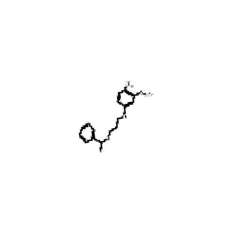 CCCSc1cc(OCCCSC(C)c2ccccc2)ccc1C(F)(F)F